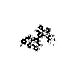 CCC(C)C(NC(=O)c1cc(-c2cc(C(=O)NC(C)(C)Cc3ccc(F)cc3)nc(C(=O)N3CCCC3CN3CCCC3)c2)cc(C(=O)N2CCCC2CN2CCCC2)n1)C(=O)O